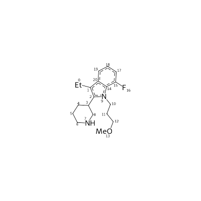 CCc1c(C2CCCNC2)n(CCCOC)c2c(F)cccc12